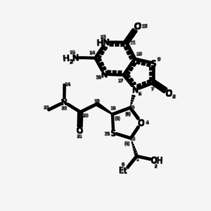 CCC(O)[C@H]1O[C@@H](n2c(=O)sc3c(=O)[nH]c(N)nc32)[C@H](CC(=O)N(C)C)S1